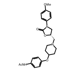 COc1ccc(N2C[C@H](CN3CCC(Oc4ccc(NC(C)=O)cc4)CC3)OC2=O)cc1